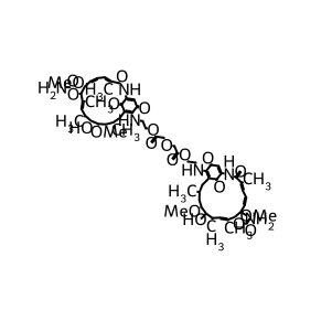 COC1/C=C\C=C(/C)C(=O)NC2=CC(=O)C(NCCOC(=O)COCC(=O)OCCNC3=C4CC(C)CC(OC)C(O)C(C)/C=C(\C)C(OC(N)=O)C(OC)/C=C\C=C(/C)C(=O)NC(=CC3=O)C4=O)=C(CC(C)CC(OC)C(O)C(C)/C=C(\C)C1OC(N)=O)C2=O